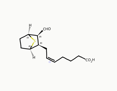 O=C[C@H]1[C@@H](C/C=C\CCCC(=O)O)[C@H]2CC[C@@H]1S2